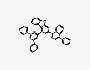 c1ccc(-c2nc(-c3ccccc3)nc(-c3cc(-c4ccc(-c5ccccc5)c5ccccc45)cc4oc5ccccc5c34)n2)cc1